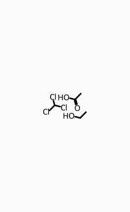 CC(=O)O.CCO.ClC(Cl)Cl